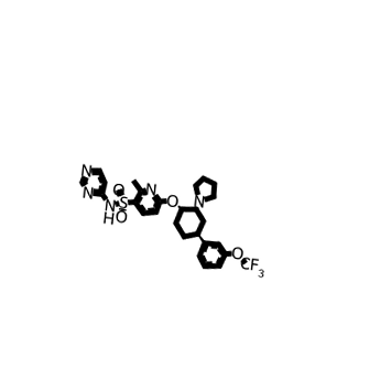 Cc1nc(O[C@H]2CC[C@H](c3cccc(OC(F)(F)F)c3)C[C@@H]2N2CCCC2)ccc1S(=O)(=O)Nc1ccncn1